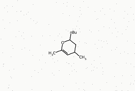 CCCCC1CC(C)C=C(C)O1